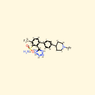 CCCN1CCC(c2ccc(-c3ccc(C(F)(F)F)c(S(N)(=O)=O)c3-c3nnn[nH]3)cc2)CC1